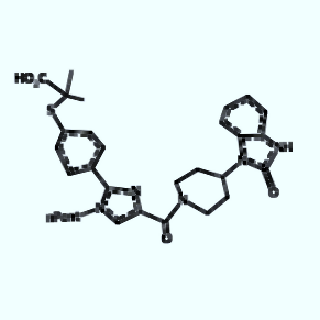 CCCCCn1cc(C(=O)N2CCC(n3c(=O)[nH]c4ccccc43)CC2)nc1-c1ccc(SC(C)(C)C(=O)O)cc1